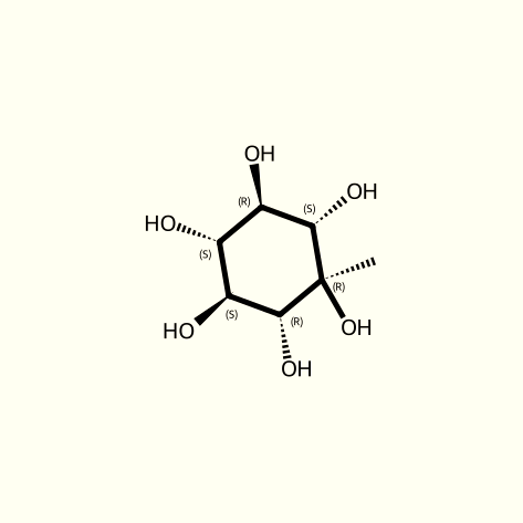 C[C@]1(O)[C@H](O)[C@@H](O)[C@H](O)[C@@H](O)[C@@H]1O